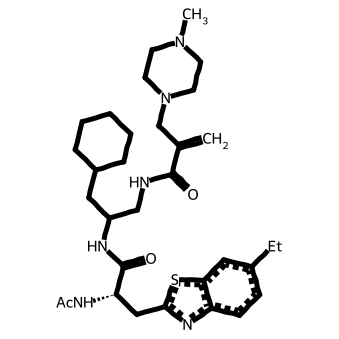 C=C(CN1CCN(C)CC1)C(=O)NCC(CC1CCCCC1)NC(=O)[C@H](Cc1nc2ccc(CC)cc2s1)NC(C)=O